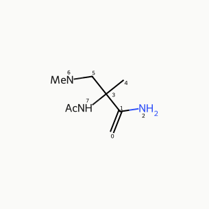 C=C(N)C(C)(CNC)NC(C)=O